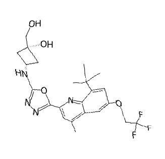 Cc1cc(-c2nnc(N[C@H]3C[C@](O)(CO)C3)o2)nc2c(C(C)(C)C)cc(OCC(F)(F)F)cc12